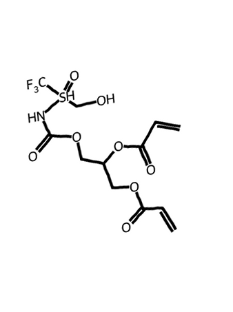 C=CC(=O)OCC(COC(=O)N[SH](=O)(CO)C(F)(F)F)OC(=O)C=C